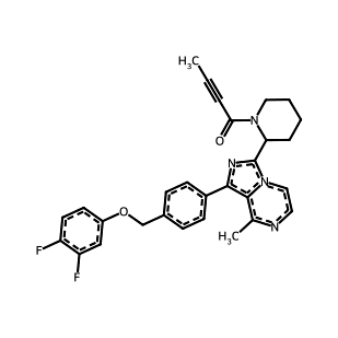 CC#CC(=O)N1CCCCC1c1nc(-c2ccc(COc3ccc(F)c(F)c3)cc2)c2c(C)nccn12